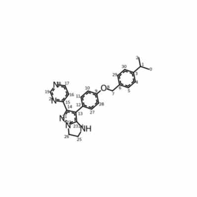 CC(C)c1ccc(COc2ccc(-c3c(-c4ccncn4)nn4c3NCC4)cc2)cc1